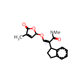 CNC(=O)/C(=C\OC1C=C(C)C(=O)O1)C1CCc2ccccc21